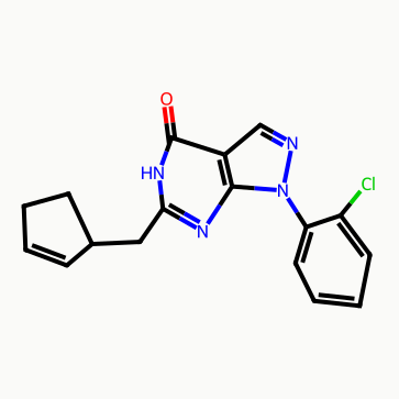 O=c1[nH]c(CC2C=CCC2)nc2c1cnn2-c1ccccc1Cl